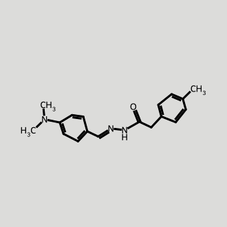 Cc1ccc(CC(=O)N/N=C/c2ccc(N(C)C)cc2)cc1